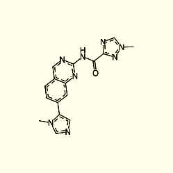 Cn1cnc(C(=O)Nc2ncc3ccc(-c4cncn4C)cc3n2)n1